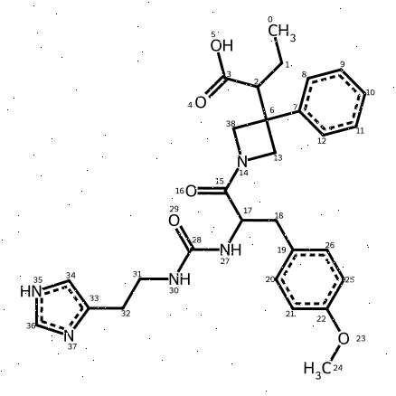 CCC(C(=O)O)C1(c2ccccc2)CN(C(=O)C(Cc2ccc(OC)cc2)NC(=O)NCCc2c[nH]cn2)C1